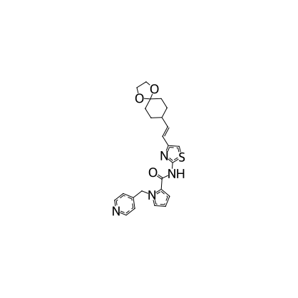 O=C(Nc1nc(/C=C/C2CCC3(CC2)OCCO3)cs1)c1cccn1Cc1ccncc1